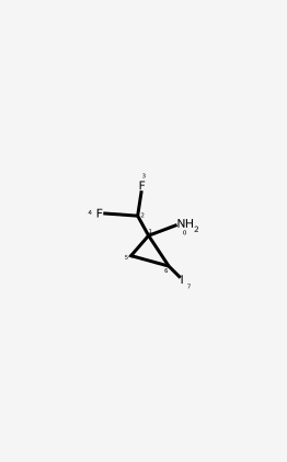 NC1(C(F)F)CC1I